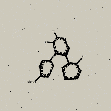 CCCCCCCCCc1ccc(-c2c(-c3ccccc3F)ccc(F)c2F)cc1